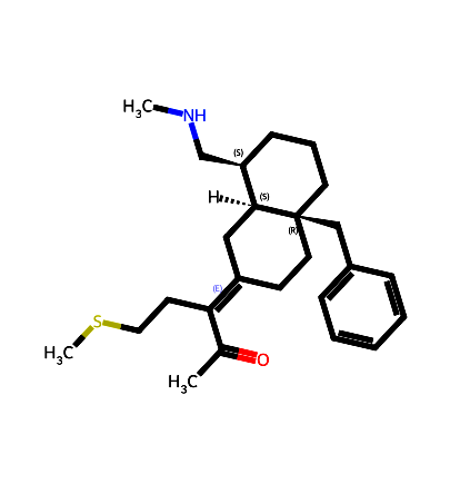 CNC[C@H]1CCC[C@]2(Cc3ccccc3)CC/C(=C(/CCSC)C(C)=O)C[C@@H]12